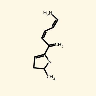 C=C(/C=C\C=C/N)C1=CCC(C)S1